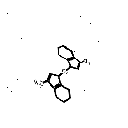 CC1=C[CH]([Fe][CH]2C=C(C)C3=C2CCCC3)C2=C1CCCC2